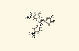 O=C(O)c1ccc(CN(C(=O)Oc2ccc([N+](=O)[O-])cc2)c2ccc(F)c(Cl)c2)c(F)c1